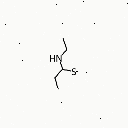 CCNC([S])CC